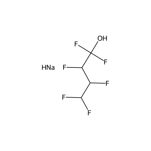 OC(F)(F)C(F)C(F)C(F)F.[NaH]